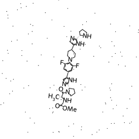 COC(=O)N[C@H](C)C(=O)N1CCC[C@H]1c1ncc(-c2cc(F)c(N3CCC(c4cnc([C@@H]5CCCN5)[nH]4)CC3)c(F)c2)[nH]1